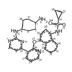 NC1CCC(Nc2nccc(-c3cccnc3Oc3ccc(NS(=O)(=O)C4CC4)c4ccccc34)n2)CC1